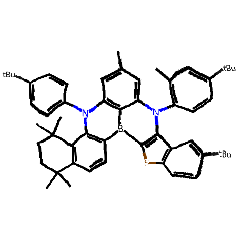 Cc1cc2c3c(c1)N(c1ccc(C(C)(C)C)cc1C)c1c(sc4ccc(C(C)(C)C)cc14)B3c1ccc3c(c1N2c1ccc(C(C)(C)C)cc1)C(C)(C)CCC3(C)C